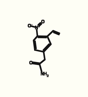 C=Cc1cc(CC(N)=O)ccc1[N+](=O)[O-]